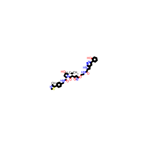 Cc1ncsc1-c1ccc(CNC(=O)[C@@H]2C[C@@H](O)CN2C(=O)[C@@H](c2cc(OCCNC(=O)c3cc4cc(-c5ccccc5O)nnc4[nH]3)no2)C(C)C)cc1